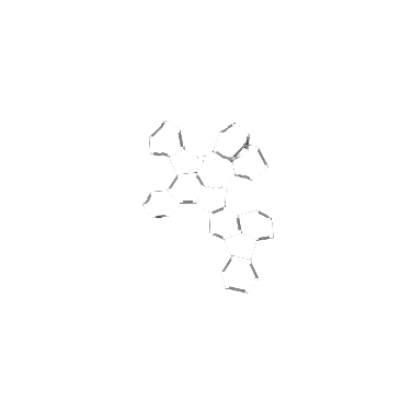 c1ccc(-n2c3ccccc3c3c4ccccc4c4c5cc6c7c(cccc7c5n(-c5ccccc5)c4c32)-c2ccccc2-6)cc1